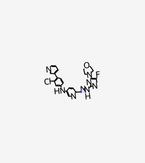 Fc1cnc(N/N=C/c2ccc(Nc3ccc(-c4cccnc4)c(Cl)c3)cn2)nc1N1CCOCC1